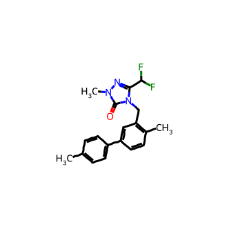 Cc1ccc(-c2ccc(C)c(Cn3c(C(F)F)nn(C)c3=O)c2)cc1